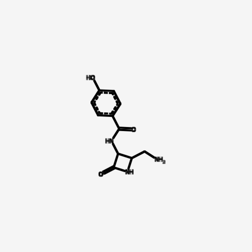 NCC1NC(=O)C1NC(=O)c1ccc(O)cc1